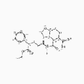 CCOC(=O)C(CCN[C@@H](C)C(=O)N1C(C(=O)O)CCC2OCCC21)c1ccccc1